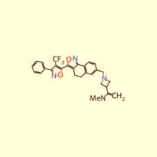 C=C(NC)C1CN(Cc2ccc3c(c2)CCc2c-3noc2-c2onc(-c3ccccc3)c2C(F)(F)F)C1